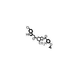 O=C(O)C1CN(C(=O)Cc2c[nH]c3cc(Cl)ccc23)CC2CN(C(=O)c3ccc(OC4CC4)cc3)CC21